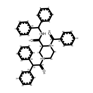 O=C(NC(c1ccccc1)c1ccccc1)C1CN(C(=O)C(c2ccccc2)c2ccccc2)CCN1C(=O)c1ccccc1